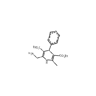 CCOC(=O)C1=C(C)NC(CN)=C(C(=O)OCC)C1c1ccncc1